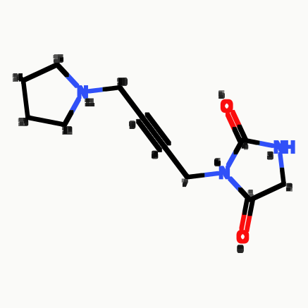 O=C1CNC(=O)N1CC#CCN1CCCC1